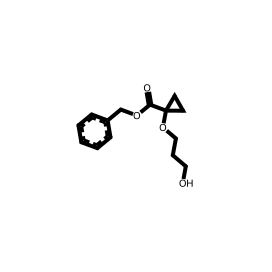 O=C(OCc1ccccc1)C1(OCCCO)CC1